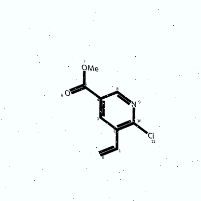 C=Cc1cc(C(=O)OC)cnc1Cl